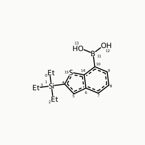 CC[Si](CC)(CC)c1cc2cccc(B(O)O)c2s1